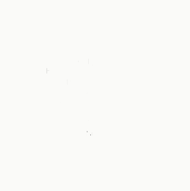 CC(C)OP(C)(=O)F.[Co].[Ni]